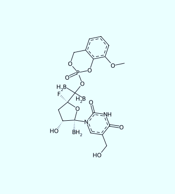 BC(B)(OP1(=O)OCc2cccc(OC)c2O1)[C@]1(F)C[C@@H](O)[C@](B)(n2cc(CO)c(=O)[nH]c2=O)O1